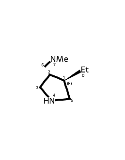 CC[C@@H]1CCNC1.CNC